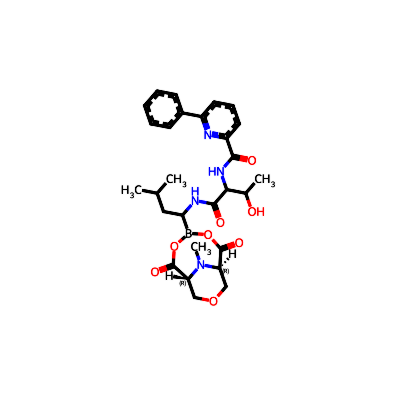 CC(C)CC(NC(=O)C(NC(=O)c1cccc(-c2ccccc2)n1)C(C)O)B1OC(=O)[C@H]2COC[C@H](C(=O)O1)N2C